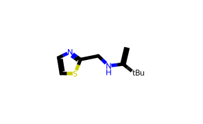 C=C(NCc1nccs1)C(C)(C)C